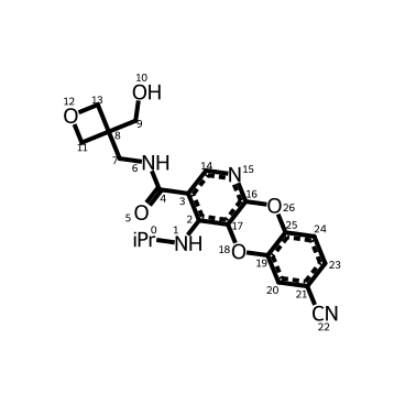 CC(C)Nc1c(C(=O)NCC2(CO)COC2)cnc2c1Oc1cc(C#N)ccc1O2